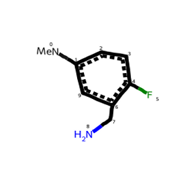 CNc1ccc(F)c(CN)c1